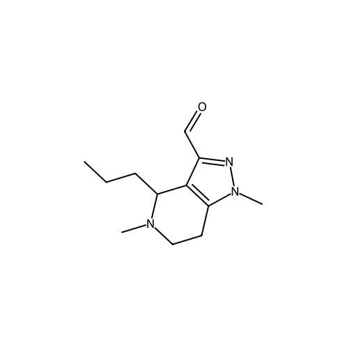 CCCC1c2c(C=O)nn(C)c2CCN1C